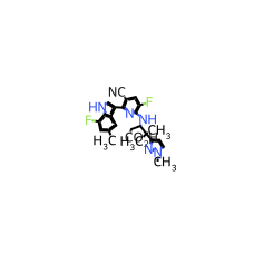 Cc1cc(F)c2[nH]cc(-c3nc(NC(CC(=O)O)C(C)(C)c4ccn(C)n4)c(F)cc3C#N)c2c1